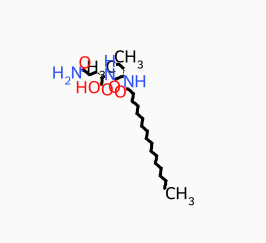 CCCCCCCCCCCCCCCCCC(=O)N[C@@H](CC(C)C)C(=O)N[C@@H](CCC(N)=O)C(=O)O